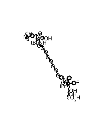 Cc1ncsc1-c1ccc(CNC(=O)[C@@H]2C[C@@H](O)CN2C(=O)[C@@H](NC(=O)COCCOCCOCCOCCOCCOCCOc2ccc(NC(=O)c3c(-c4ccccc4)c(-c4ccc(F)cc4)n(CC[C@@H](O)C[C@@H](O)CC(=O)O)c3C(C)C)cc2)C(C)(C)C)cc1